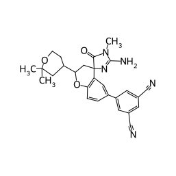 CN1C(=O)C2(CC(C3CCOC(C)(C)C3)Oc3ccc(-c4cc(C#N)cc(C#N)c4)cc32)N=C1N